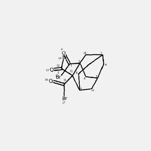 O=C(Br)C12CC3CC(CC(C3)C1(C(=O)Br)C(=O)Br)C2